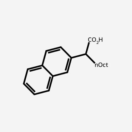 CCCCCCCCC(C(=O)O)c1ccc2ccccc2c1